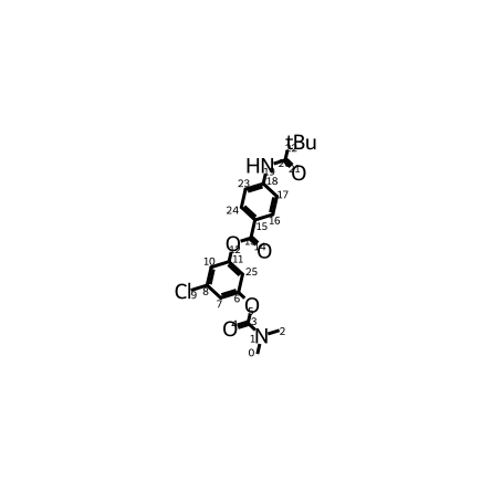 CN(C)C(=O)Oc1cc(Cl)cc(OC(=O)c2ccc(NC(=O)C(C)(C)C)cc2)c1